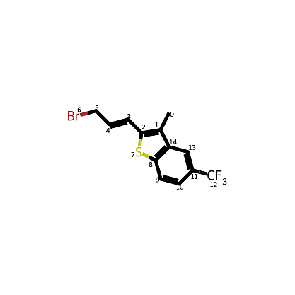 Cc1c(C=CCBr)sc2ccc(C(F)(F)F)cc12